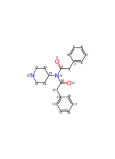 O=C(Cc1ccccc1)N(C(=O)Cc1ccccc1)C1CC[N]CC1